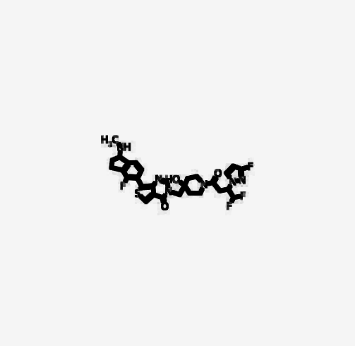 CNC1CCc2c1ccc(-c1scc3c(=O)n(CC4(O)CCN(C(=O)CC(C(F)F)n5ccc(F)n5)CC4)cnc13)c2F